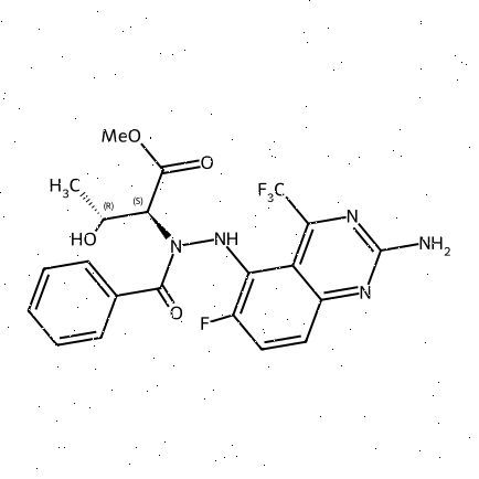 COC(=O)[C@H]([C@@H](C)O)N(Nc1c(F)ccc2nc(N)nc(C(F)(F)F)c12)C(=O)c1ccccc1